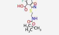 CC(C)(C)OC(=O)NCCSc1noc2ccc(F)c(C(=O)O)c12